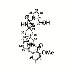 COc1ccccc1C(=O)NCC1(c2ccccc2)CCC(NS(=O)(=O)N2CCC[C@H]2CO)CC1